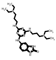 CCN(CC)CCCNc1nc(NCCCN(CC)CC)nc(Nc2ccc3[nH]c(=O)[nH]c3c2)n1